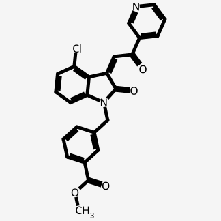 COC(=O)c1cccc(CN2C(=O)C(=CC(=O)c3cccnc3)c3c(Cl)cccc32)c1